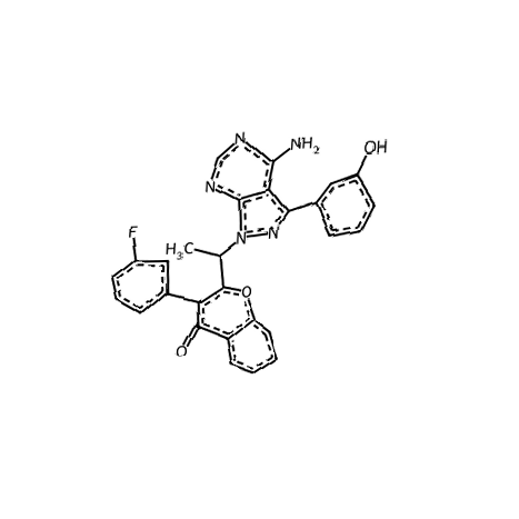 CC(c1oc2ccccc2c(=O)c1-c1cccc(F)c1)n1nc(-c2cccc(O)c2)c2c(N)ncnc21